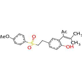 COc1ccc(S(=O)(=O)CCc2ccc(O)c(C(C(C)=O)=C(C)C)c2)cc1